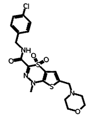 CN1N=C(C(=O)NCc2ccc(Cl)cc2)S(=O)(=O)c2cc(CN3CCOCC3)sc21